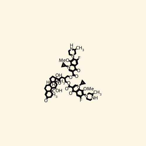 COc1c(N2CCNC(C)C2)c(F)cc2c(=O)c(C(=O)OCC([CH]C(=O)[C@]3(O)CC[C@@H]4[C@H]5CCC6=CC(=O)CC[C@@]6(C)C5[C@H](O)C[C@]43C)COC(=O)c3cn(C4CC4)c4c(OC)c(N5CCNC(C)C5)c(F)cc4c3=O)cn(C3CC3)c12